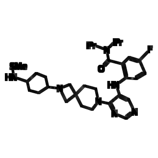 CSNC1CCC(N2CC3(CCN(c4ncncc4Nc4ccc(F)cc4C(=O)N(C(C)C)C(C)C)CC3)C2)CC1